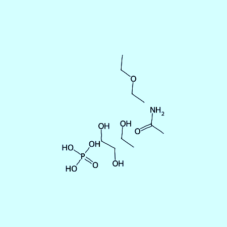 CC(N)=O.CCO.CCOCC.O=P(O)(O)O.OCCO